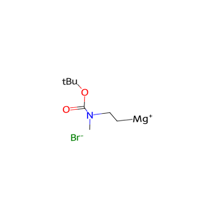 CN(C[CH2][Mg+])C(=O)OC(C)(C)C.[Br-]